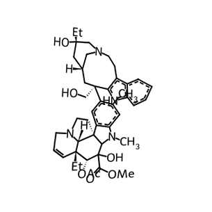 CC[C@]1(O)C[C@@H]2CN(CCc3c([nH]c4ccccc34)[C@@](CO)(c3cc4c(cc3C)N(C)C3C(O)(C(=O)OC)[C@H](OC(C)=O)[C@]5(CC)C=CCN6CC[C@]43[C@@H]65)C2)C1